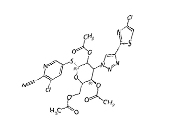 CC(=O)OCC1O[C@H](Sc2cnc(C#N)c(Cl)c2)C(OC(C)=O)C(n2cc(-c3nc(Cl)cs3)nn2)[C@H]1OC(C)=O